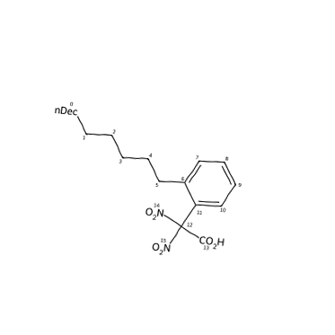 CCCCCCCCCCCCCCCc1ccccc1C(C(=O)O)([N+](=O)[O-])[N+](=O)[O-]